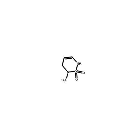 CN1CC=CNS1(=O)=O